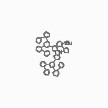 CC(C)(C)c1ccccc1-c1ccccc1-n1c2ccc(-c3cc(-c4ccccc4-c4ccccc4)cc(-c4ccccc4-c4ccccc4)c3)cc2c2cc(-c3cc(-c4ccccc4-c4ccccc4)cc(-c4ccccc4-c4ccccc4)c3)ccc21